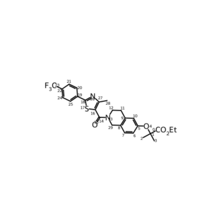 CCOC(=O)C(C)(C)Oc1ccc2c(c1)CCN(C(=O)c1sc(-c3ccc(C(F)(F)F)cc3)nc1C)C2